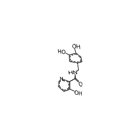 O=C(NCc1ccc(O)c(O)c1)c1ncccc1O